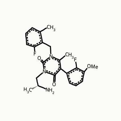 COc1cccc(-c2c(C)n(Cc3c(C)cccc3F)c(=O)n(C[C@@H](C)N)c2=O)c1F